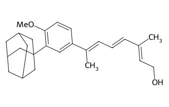 COc1ccc(C(C)=CC=CC(C)=CCO)cc1C12CC3CC(CC(C3)C1)C2